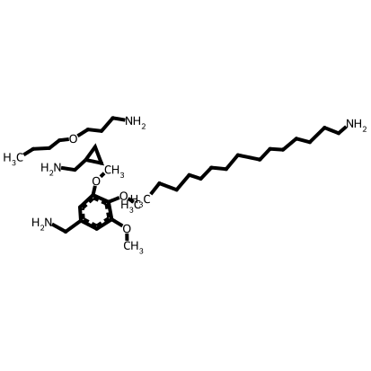 CCCCCCCCCCCCCCCN.CCCCOCCCN.COc1cc(CN)cc(OC)c1OC.NCC1CC1